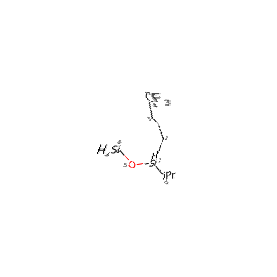 CC(C)[SiH](CCC(F)(F)F)O[SiH3]